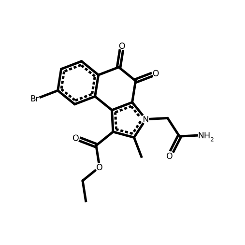 CCOC(=O)c1c2c(n(CC(N)=O)c1C)C(=O)C(=O)c1ccc(Br)cc1-2